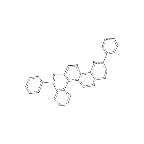 c1ccc(-c2ccc3ccc4c(ncc5nc(-c6ccccc6)c6ccccc6c54)c3n2)cc1